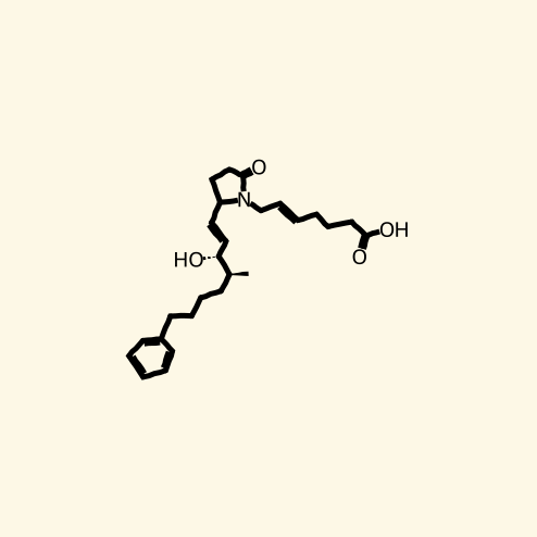 C[C@@H](CCCCc1ccccc1)[C@H](O)C=CC1CCC(=O)N1CC=CCCCC(=O)O